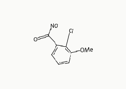 COc1cccc(C(=O)N=O)c1Cl